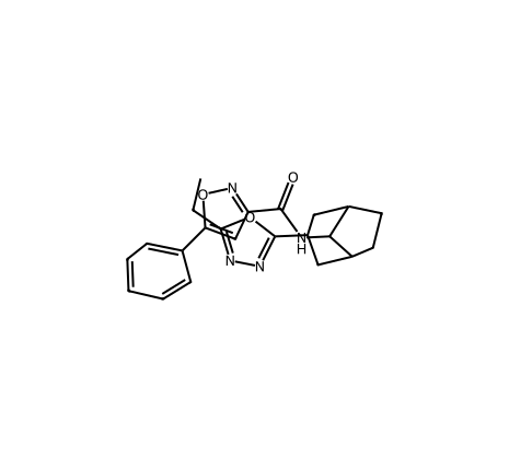 CCc1nnc(C2CC3CCC(C2)C3NC(=O)c2cc(-c3ccccc3)on2)o1